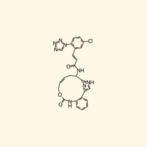 O=C(C=Cc1cc(Cl)ccc1-n1cnnn1)NC1CC=CCOC(=O)Nc2ccccc2-c2c[nH]c1n2